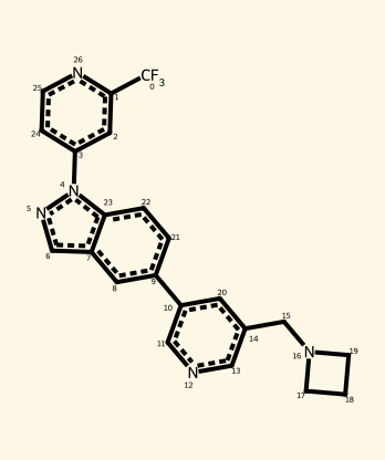 FC(F)(F)c1cc(-n2ncc3cc(-c4cncc(CN5CCC5)c4)ccc32)ccn1